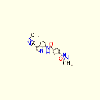 Cc1nnc(-c2ccc(C(=O)Nc3cccc4c(-c5cnn(CC(F)(F)F)c5)ccnc34)cc2)o1